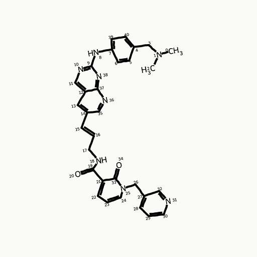 CN(C)Cc1ccc(Nc2ncc3cc(/C=C/CNC(=O)c4cccn(Cc5cccnc5)c4=O)cnc3n2)cc1